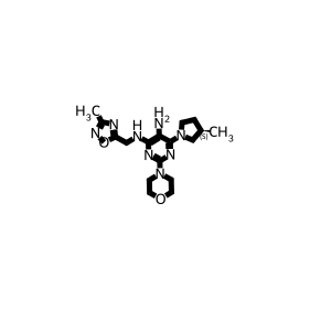 Cc1noc(CNc2nc(N3CCOCC3)nc(N3CC[C@H](C)C3)c2N)n1